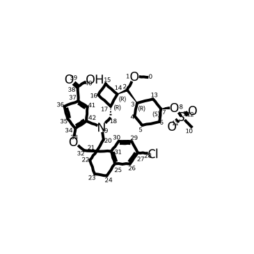 COC([C@@H]1CCC[C@H](OS(C)(=O)=O)C1)[C@@H]1CC[C@H]1CN1CC2(CCCc3cc(Cl)ccc32)COc2ccc(C(=O)O)cc21